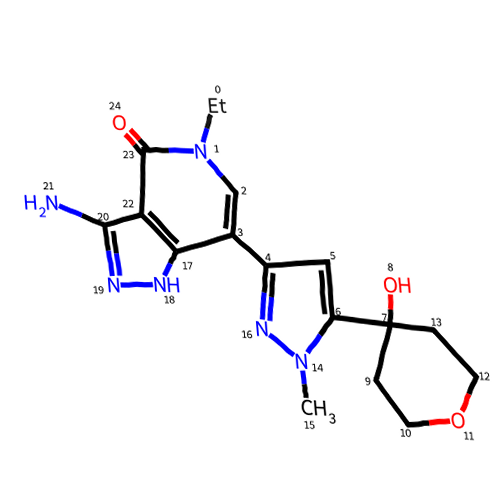 CCn1cc(-c2cc(C3(O)CCOCC3)n(C)n2)c2[nH]nc(N)c2c1=O